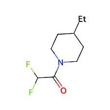 CCC1CCN(C(=O)C(F)F)CC1